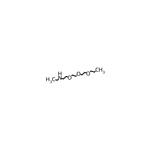 CCCOCCOCCOCCNCC